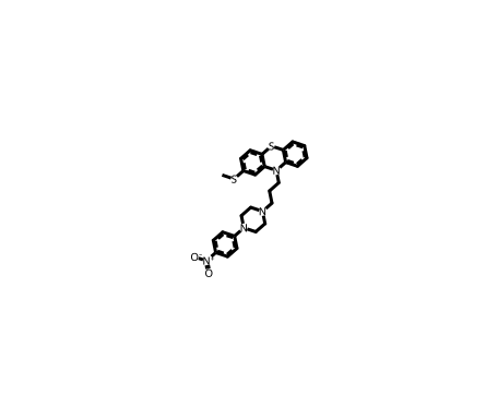 CSc1ccc2c(c1)N(CCCN1CCN(c3ccc([N+](=O)[O-])cc3)CC1)c1ccccc1S2